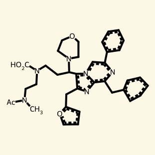 CC(=O)N(C)CCN(CCC(c1c(Cc2ccco2)nc2c(Cc3ccccc3)nc(-c3ccccc3)cn12)N1CCOCC1)C(=O)O